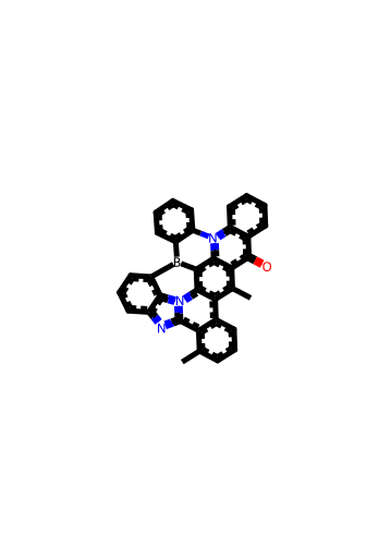 Cc1cccc2c1c1nc3cccc4c3n1c1c3c5c(c(C)c21)c(=O)c1ccccc1n5-c1ccccc1B43